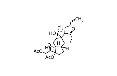 C=CCC[C@@]1(C)C(=O)CC[C@H]2[C@@H]3CC[C@](OC(C)=O)(C(=O)COC(C)=O)[C@@]3(C)C[C@H](O)C21F